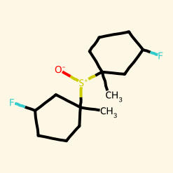 CC1([S+]([O-])C2(C)CCCC(F)C2)CCCC(F)C1